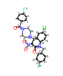 O=C(c1ccc(F)cc1)N1CCN(c2c([N+](=O)[O-])c(=O)n(Cc3ccc(F)cc3)c3ccc(Cl)cc23)CC1